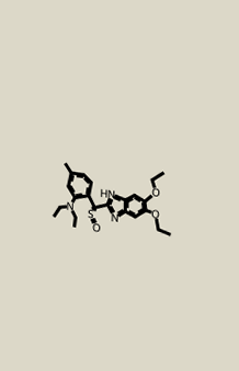 CCOc1cc2nc(C(=S=O)c3ccc(C)cc3N(CC)CC)[nH]c2cc1OCC